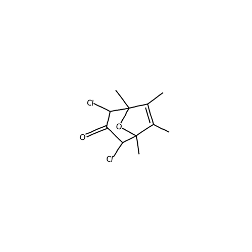 CC1=C(C)C2(C)OC1(C)C(Cl)C(=O)C2Cl